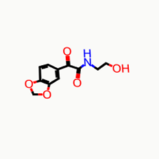 O=C(NCCO)C(=O)c1ccc2c(c1)OCO2